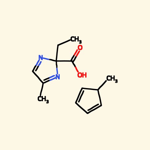 CC1C=CC=C1.CCC1(C(=O)O)N=CC(C)=N1